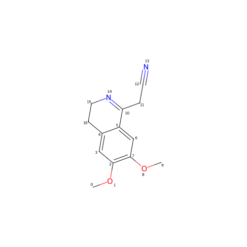 COc1cc2c(cc1OC)C(CC#N)=NCC2